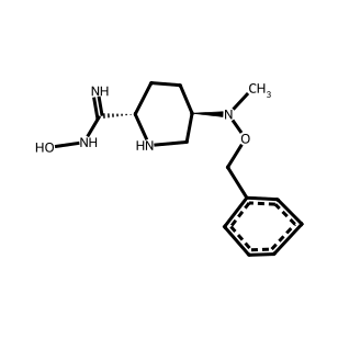 CN(OCc1ccccc1)[C@@H]1CC[C@@H](C(=N)NO)NC1